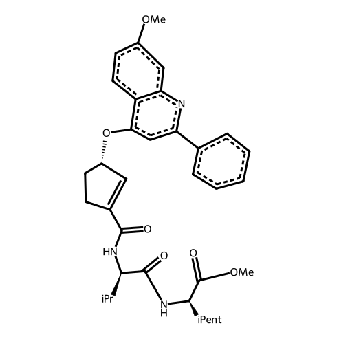 CCCC(C)[C@@H](NC(=O)[C@H](NC(=O)C1=C[C@@H](Oc2cc(-c3ccccc3)nc3cc(OC)ccc23)CC1)C(C)C)C(=O)OC